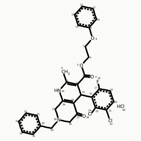 CC1=C(C(=O)OCCOc2ccccc2)C(c2c(F)ccc(Cl)c2Cl)C2=C(CN(Cc3ccccc3)CC2=O)N1.Cl